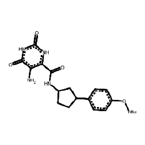 CCCCOc1ccc(C2CCC(NC(=O)c3[nH]c(=O)[nH]c(=O)c3N)C2)cc1